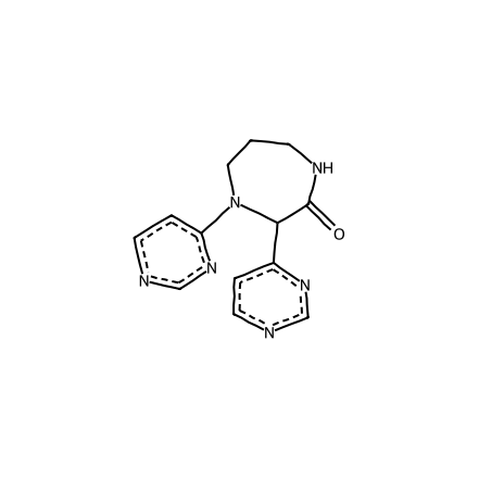 O=C1NCCCN(c2ccncn2)C1c1ccncn1